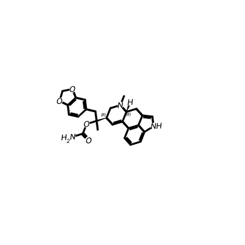 CN1C[C@H](C(C)(Cc2ccc3c(c2)OCO3)OC(N)=O)C=C2c3cccc4[nH]cc(c34)C[C@H]21